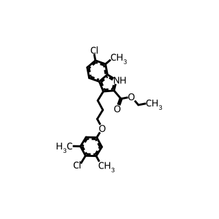 CCOC(=O)c1[nH]c2c(C)c(Cl)ccc2c1CCCOc1cc(C)c(Cl)c(C)c1